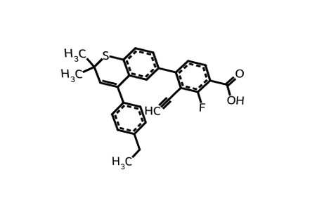 C#Cc1c(-c2ccc3c(c2)C(c2ccc(CC)cc2)=CC(C)(C)S3)ccc(C(=O)O)c1F